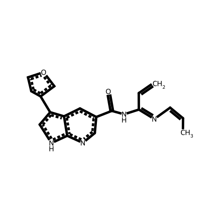 C=C/C(=N\C=C/C)NC(=O)c1cnc2[nH]cc(-c3ccoc3)c2c1